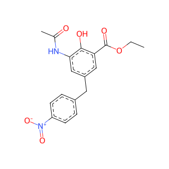 CCOC(=O)c1cc(Cc2ccc([N+](=O)[O-])cc2)cc(NC(C)=O)c1O